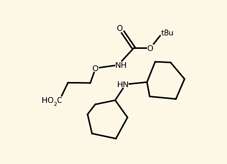 C1CCC(NC2CCCCC2)CC1.CC(C)(C)OC(=O)NOCCC(=O)O